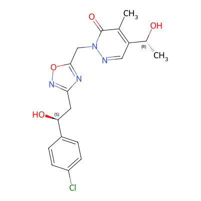 Cc1c([C@@H](C)O)cnn(Cc2nc(C[C@H](O)c3ccc(Cl)cc3)no2)c1=O